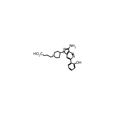 Nc1nn(C2CCN(CCCC(=O)O)CC2)c2cc(-c3ccccc3O)nnc12